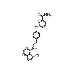 NC(=O)c1cccc(Oc2ccc(CCNc3ncnc4scc(Cl)c34)cc2)n1